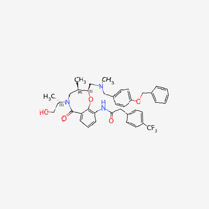 C[C@@H]1CN([C@@H](C)CO)C(=O)c2cccc(NC(=O)Cc3ccc(C(F)(F)F)cc3)c2O[C@@H]1CN(C)Cc1ccc(OCc2ccccc2)cc1